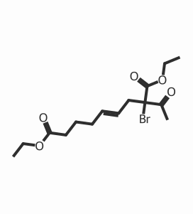 CCOC(=O)CCC/C=C/CC(Br)(C(C)=O)C(=O)OCC